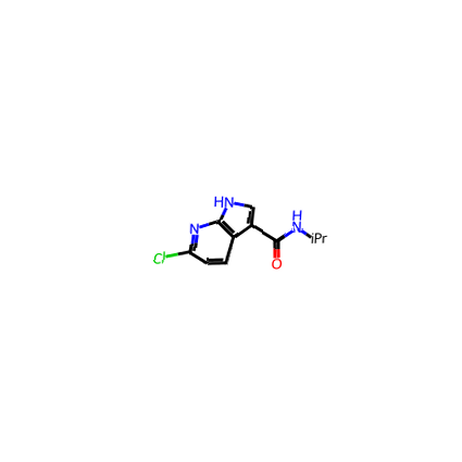 CC(C)NC(=O)c1c[nH]c2nc(Cl)ccc12